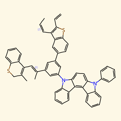 C=Cc1sc2ccc(-c3cc(/C(C)=C/C4=C(C)CSc5ccccc54)cc(-n4c5ccccc5c5c6c7ccccc7n(-c7ccccc7)c6ccc54)c3)cc2c1/C=C\C